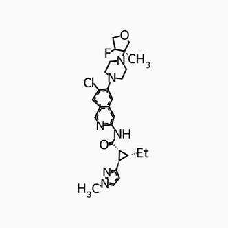 CC[C@H]1[C@@H](C(=O)Nc2cc3cc(N4CCN([C@]5(C)COC[C@@H]5F)CC4)c(Cl)cc3cn2)[C@@H]1c1ccn(C)n1